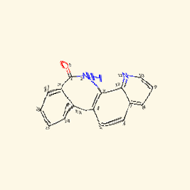 O=c1[nH]c2c(ccc3cccnc32)c2ccccc12